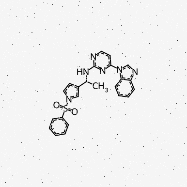 CC(Nc1nccc(-n2cnc3ccccc32)n1)c1ccn(S(=O)(=O)c2ccccc2)c1